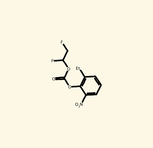 CCc1cccc([N+](=O)[O-])c1OC(=O)OC(F)CF